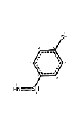 N=[SH]c1ccc(S)cc1